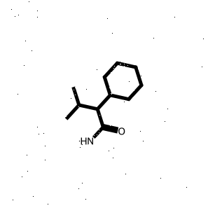 CC(C)C(C([NH])=O)C1CCCCC1